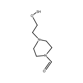 O=CN1CCN(CCOS)CC1